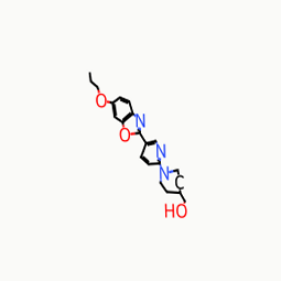 CCCOc1ccc2nc(-c3ccc(N4CCC(CO)CC4)nc3)oc2c1